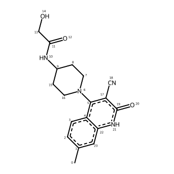 Cc1ccc2c(N3CCC(NC(=O)CO)CC3)c(C#N)c(=O)[nH]c2c1